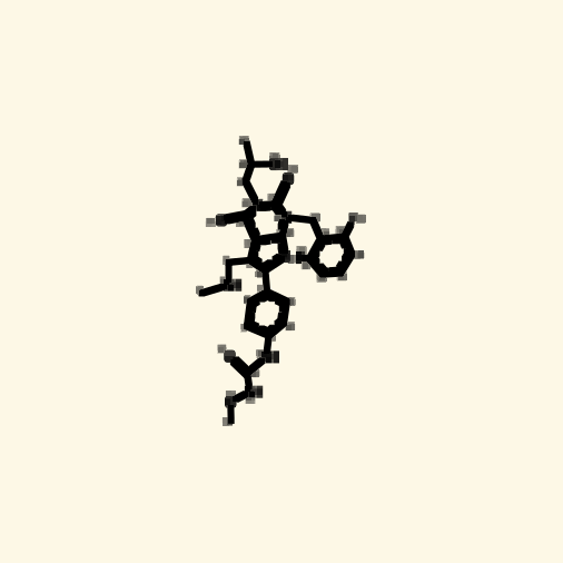 CNCc1c(-c2ccc(NC(=O)NOC)cc2)sc2c1c(=O)n(CC(C)O)c(=O)n2Cc1c(F)cccc1F